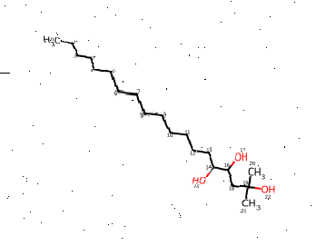 CCCCCCCCCCCCCCC(O)C(O)CC(C)(C)O